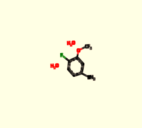 Bc1ccc(F)c(OC(F)(F)F)c1.O.O